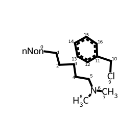 CCCCCCCCCCCCCCN(C)C.ClCc1ccccc1